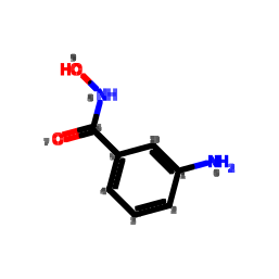 Nc1c[c]cc(C(=O)NO)c1